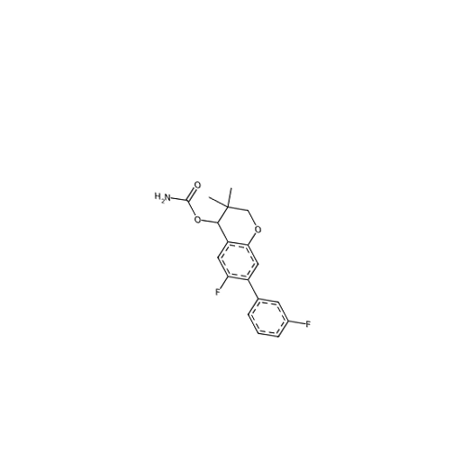 CC1(C)COc2cc(-c3cccc(F)c3)c(F)cc2C1OC(N)=O